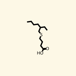 CCCCC(CC)CSCCCC(=O)O